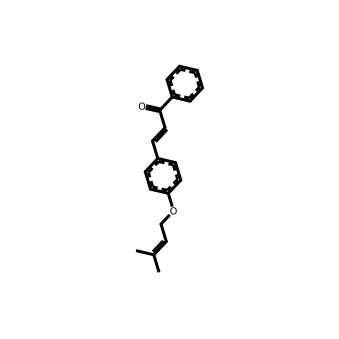 CC(C)=CCOc1ccc(C=CC(=O)c2ccccc2)cc1